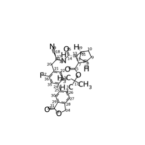 CC(C)(C)OC(=O)C1[C@@H]2CC[C@@H](C2)[C@H]1C(=O)N[C@H](C#N)Cc1ccc(-c2ccc3c(c2)C(=O)OC3)cc1F